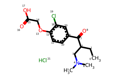 CCC(CN(C)C)C(=O)c1ccc(OCC(=O)O)c(Cl)c1.Cl